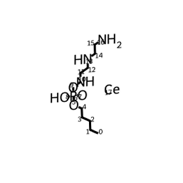 CCCCCOP(=O)(O)ONCCNCCN.[Ce]